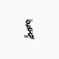 Cc1cn2cc(-c3cc4sc(OC5CCNCC5)nc4cn3)cc(C#N)c2n1